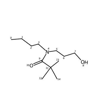 CCCCN(CCCO)C(=O)C(C)(C)C